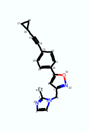 CCc1nccn1Cc1cc(-c2ccc(C#CC3CC3)cc2)on1